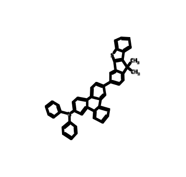 CC1(C)c2ccc(-c3ccc4c5ccc(N(c6ccccc6)c6ccccc6)cc5c5ccccc5c4c3)cc2-c2sc3ccccc3c21